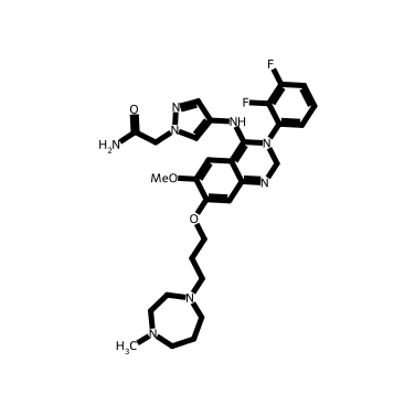 COc1cc2c(cc1OCCCN1CCCN(C)CC1)=NCN(c1cccc(F)c1F)C=2Nc1cnn(CC(N)=O)c1